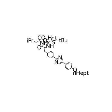 CCCCCCCOc1ccc(-c2cnc(-c3ccc(CC(NC(=O)c4ccc(C(C)(C)C)s4)C(=O)N[C@@H](CC(C)C)C(=O)O)cc3)nc2)cc1